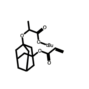 C=CC(=O)OC12CC3CC(C1)CC(OC(C)C(=O)OC(C)(C)C)(C3)C2